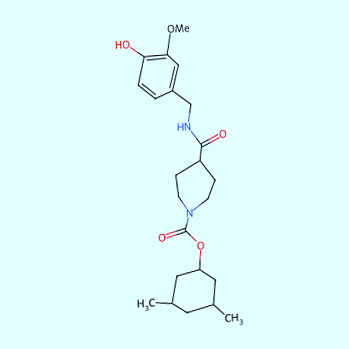 COc1cc(CNC(=O)C2CCN(C(=O)OC3CC(C)CC(C)C3)CC2)ccc1O